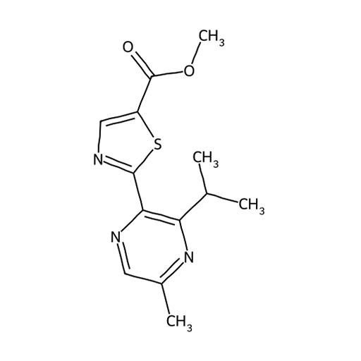 COC(=O)c1cnc(-c2ncc(C)nc2C(C)C)s1